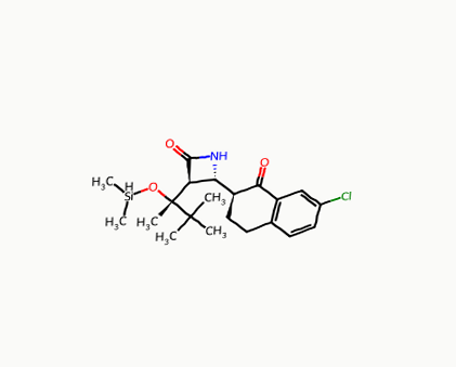 C[SiH](C)O[C@](C)([C@H]1C(=O)N[C@@H]1[C@@H]1CCc2ccc(Cl)cc2C1=O)C(C)(C)C